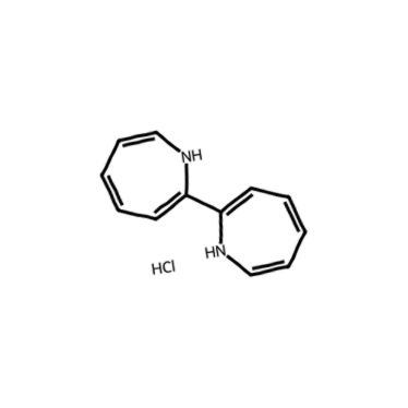 C1=CC=C(C2=CC=CC=CN2)NC=C1.Cl